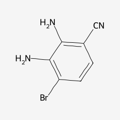 N#Cc1ccc(Br)c(N)c1N